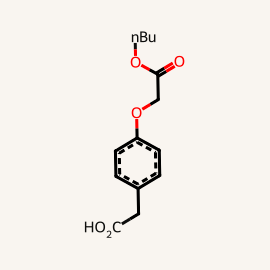 CCCCOC(=O)COc1ccc(CC(=O)O)cc1